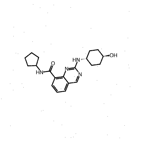 O=C(NC1CCCC1)c1cccc2cnc(N[C@H]3CC[C@H](O)CC3)nc12